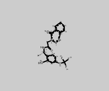 C[C@H](NC(=O)Cn1nnc2ccccc2c1=O)c1ccc(OC(F)(F)F)cc1O